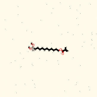 C=C(C)C(=O)OCCCCCCCCCCC[SiH](OC)OC